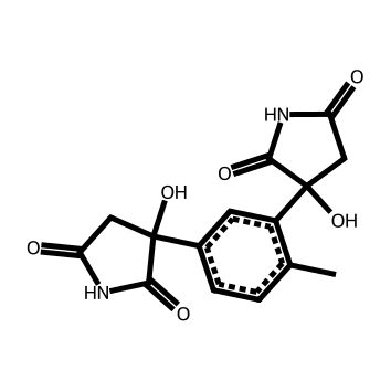 Cc1ccc(C2(O)CC(=O)NC2=O)cc1C1(O)CC(=O)NC1=O